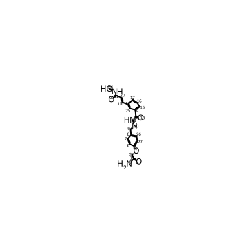 NC(=O)COc1ccc(/C=N/NC(=O)c2cccc(/C=C/C(=O)NO)c2)cc1